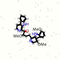 COc1cccc2c1[nH]c1c(CCC(OC)C(=O)c3nccc4c3[nH]c3ccccc34)ncc(OC)c12